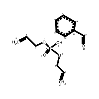 C=CCOP(=O)(O)OCC=C.O=Cc1ccccc1